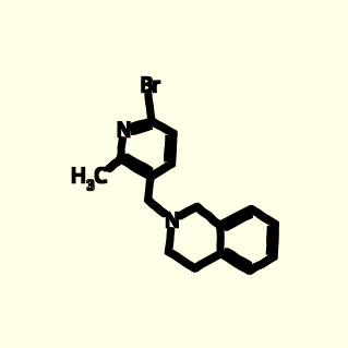 Cc1nc(Br)ccc1CN1CCc2ccccc2C1